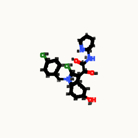 O=C(Nc1ccccn1)C(=O)c1c(Cl)n(Cc2ccc(Cl)cc2)c2ccc(O)cc12